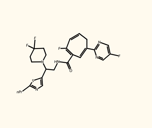 CCCc1ncc(C(CNC(=O)C2=C(F)C=CCC(c3ncc(F)cn3)=C2)N2CCC(F)(F)CC2)s1